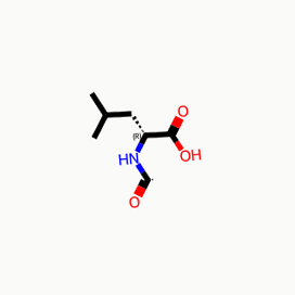 CC(C)C[C@@H](N[C]=O)C(=O)O